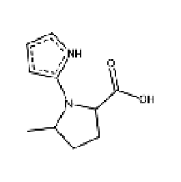 CC1CCC(C(=O)O)N1c1ccc[nH]1